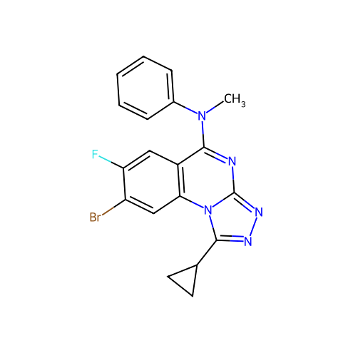 CN(c1ccccc1)c1nc2nnc(C3CC3)n2c2cc(Br)c(F)cc12